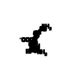 CCO/N=C(\C(=O)N[C@@H]1C(=O)N2C(C(=O)[O-])=C(Cn3cc[n+]4c(SCCOC(N)=O)cccc34)CS[C@@H]12)c1csc(N)n1